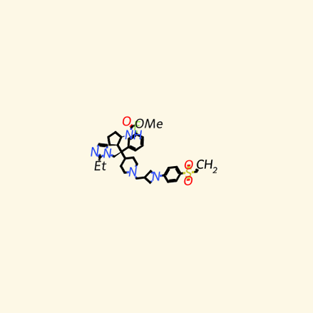 C=CS(=O)(=O)c1ccc(N2CC(CN3CCC([C@@](Cn4ccnc4CC)(c4cccc(F)c4)[C@H]4CCC[C@@H]4NC(=O)OC)CC3)C2)cc1